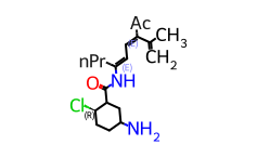 C=C(C)/C(=C\C=C(/CCC)NC(=O)C1CC(N)CC[C@H]1Cl)C(C)=O